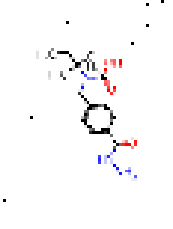 CCC(C)(C)N(Cc1ccc(C(=O)NN)cc1)C(=O)O